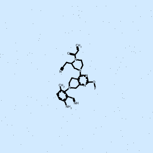 C=CC(=O)N1CCN(c2nc(OF)nc3c2CCN(c2c(C)ccc(N)c2C=N)C3)CC1CC#N